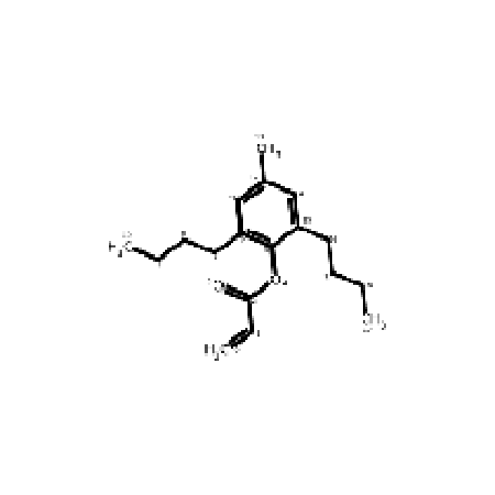 C=CC(=O)Oc1c(CCCC)cc(C)cc1CCCC